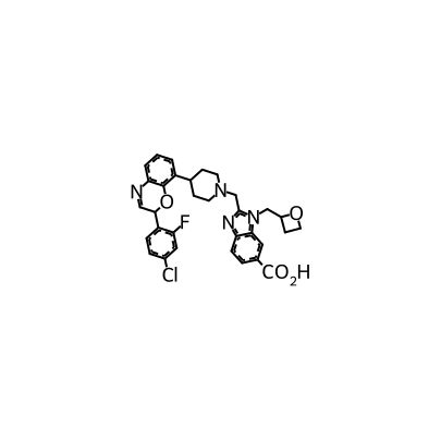 O=C(O)c1ccc2nc(CN3CCC(c4cccc5c4OC(c4ccc(Cl)cc4F)C=N5)CC3)n(CC3CCO3)c2c1